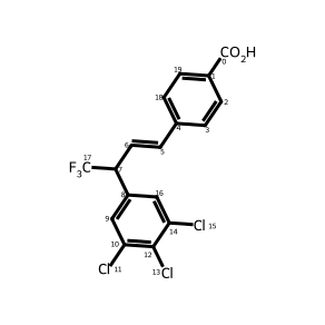 O=C(O)c1ccc(/C=C/C(c2cc(Cl)c(Cl)c(Cl)c2)C(F)(F)F)cc1